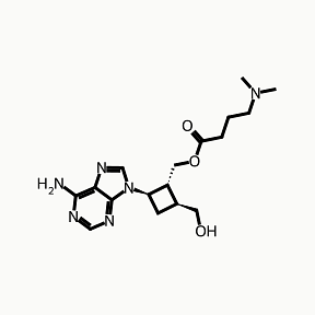 CN(C)CCCC(=O)OC[C@@H]1[C@@H](CO)C[C@H]1n1cnc2c(N)ncnc21